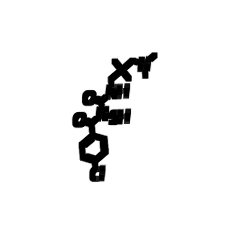 CN(C)CC(C)(C)CNC(=O)N(S)C(=O)c1ccc(Cl)cc1